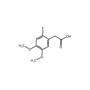 COc1cc(F)c(CC(=O)O)cc1OC